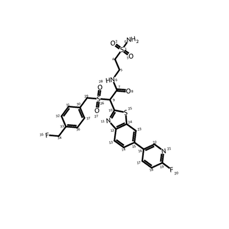 NS(=O)(=O)CCNC(=O)C(c1nc2ccc(-c3ccc(F)nc3)cc2s1)S(=O)(=O)Cc1ccc(CF)cc1